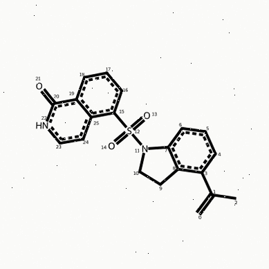 C=C(C)c1cccc2c1CCN2S(=O)(=O)c1cccc2c(=O)[nH]ccc12